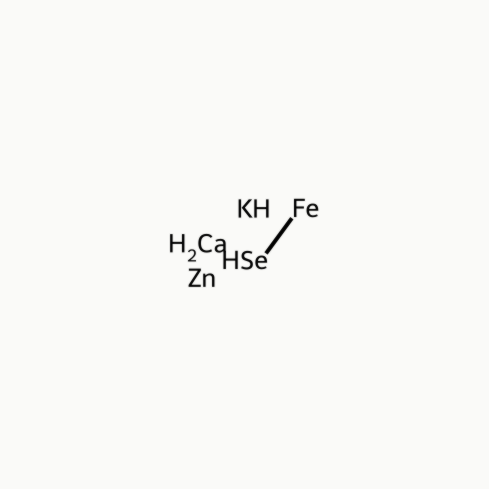 [CaH2].[Fe][SeH].[KH].[Zn]